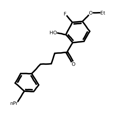 CCCc1ccc(CCCC(=O)c2ccc(OCC)c(F)c2O)cc1